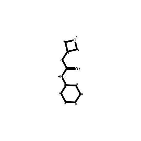 O=C(CC1COC1)NC1CCCCC1